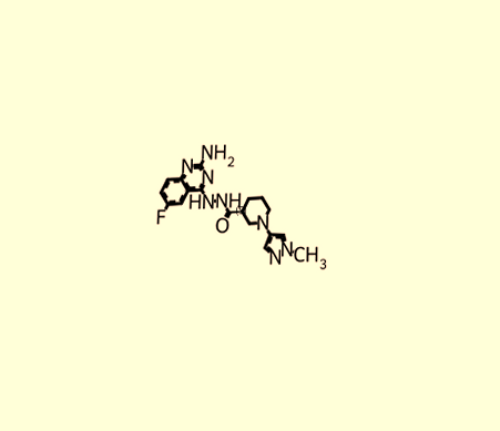 Cn1cc(N2CCC[C@H](C(=O)NNc3nc(N)nc4ccc(F)cc34)C2)cn1